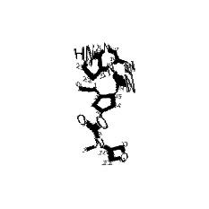 CC[C@@H]1C[C@H](OC(=O)N(C)C2COC2)C[C@@H]1c1nnc2n1C1C=CNC1N=C2